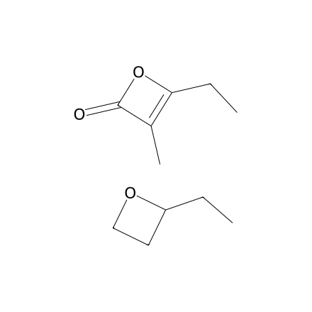 CCC1=C(C)C(=O)O1.CCC1CCO1